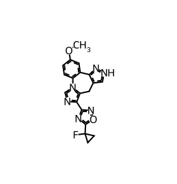 COc1ccc2c(c1)-c1n[nH]cc1Cc1c(-c3noc(C4(F)CC4)n3)ncn1-2